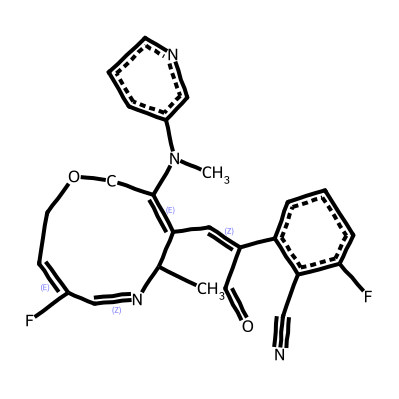 CC1/N=C\C(F)=C/COC/C(N(C)c2cccnc2)=C1/C=C(\C=O)c1cccc(F)c1C#N